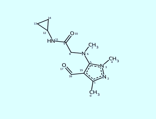 Cc1nn(C)c(N(C)CC(=O)NC2CC2)c1C=O